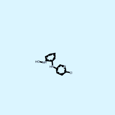 ONc1ccccc1Nc1ccc(Cl)nc1